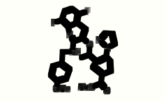 COC(=O)c1ccc(-n2cccn2)c(C(C)Oc2cc3c(F)ccc(F)c3nc2NCc2ccc(OC)cc2)c1